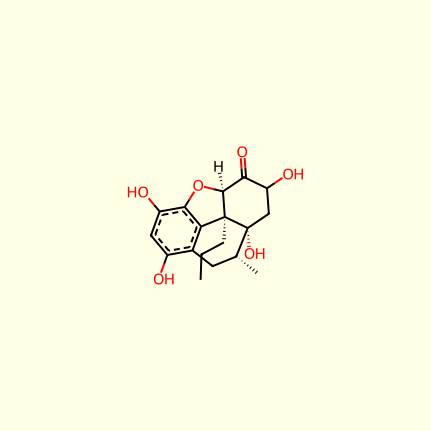 CCC[C@]12c3c4c(O)cc(O)c3O[C@H]1C(=O)C(O)C[C@@]2(O)[C@H](C)C4